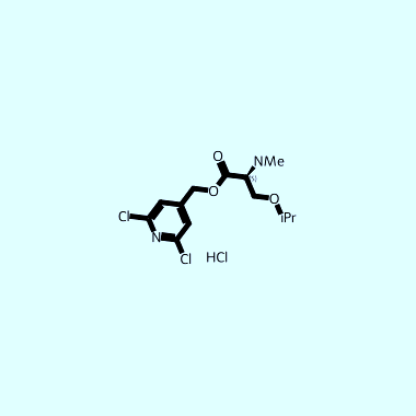 CN[C@@H](COC(C)C)C(=O)OCc1cc(Cl)nc(Cl)c1.Cl